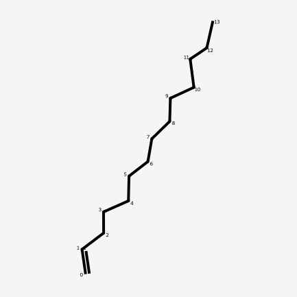 C=[C]CCCCCCCCCCCC